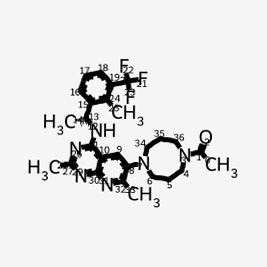 CC(=O)N1CCCN(c2cc3c(N[C@H](C)c4cccc(C(F)(F)F)c4C)nc(C)nc3nc2C)CCC1